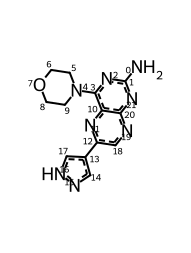 Nc1nc(N2CCOCC2)c2nc(-c3cn[nH]c3)cnc2n1